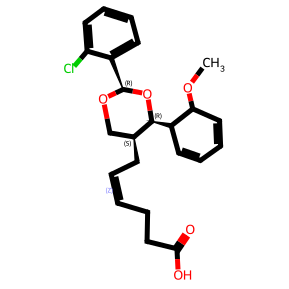 COC1C=CC=CC1[C@@H]1O[C@H](c2ccccc2Cl)OC[C@@H]1C/C=C\CCC(=O)O